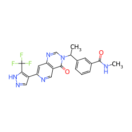 CNC(=O)c1cccc(C(C)n2cnc3cc(-c4cn[nH]c4C(F)(F)F)ncc3c2=O)c1